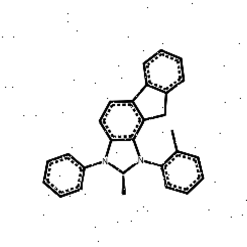 Cc1ccccc1N1c2c(ccc3c2Cc2ccccc2-3)N(c2ccccc2)[C@@H]1C